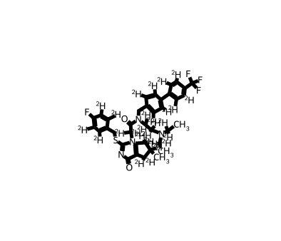 [2H]c1c([2H])c(CSc2nc(=O)c3c(n2C([2H])([2H])C(=O)N(Cc2c([2H])c([2H])c(-c4c([2H])c([2H])c(C(F)(F)F)c([2H])c4[2H])c([2H])c2[2H])C([2H])([2H])C([2H])([2H])N(C([2H])([2H])C)C([2H])([2H])C)C([2H])([2H])C([2H])(C)C3([2H])[2H])c([2H])c([2H])c1F